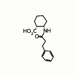 O=C(CCc1ccccc1)N[C@H]1CCCC[C@H]1C(=O)O